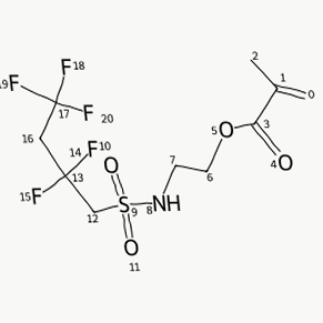 C=C(C)C(=O)OCCNS(=O)(=O)CC(F)(F)CC(F)(F)F